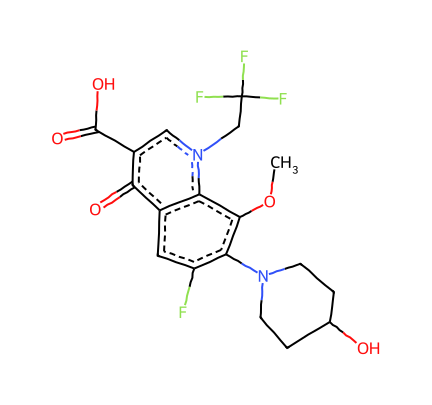 COc1c(N2CCC(O)CC2)c(F)cc2c(=O)c(C(=O)O)cn(CC(F)(F)F)c12